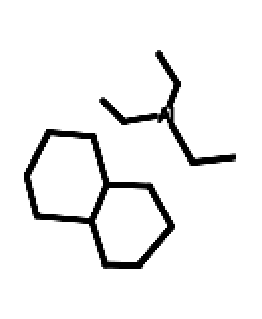 C1CCC2CCCCC2C1.C[CH2][Al]([CH2]C)[CH2]C